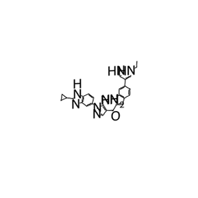 CCN/C=C(\C=N)c1ccc2cc(C(=O)c3cnn(-c4ccc5[nH]c(C6CC6)nc5c4)c3N)[nH]c2c1